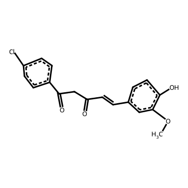 COc1cc(C=CC(=O)CC(=O)c2ccc(Cl)cc2)ccc1O